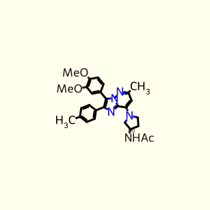 COc1ccc(-c2c(-c3ccc(C)cc3)nc3c(N4CC[C@@H](NC(C)=O)C4)cc(C)nn23)cc1OC